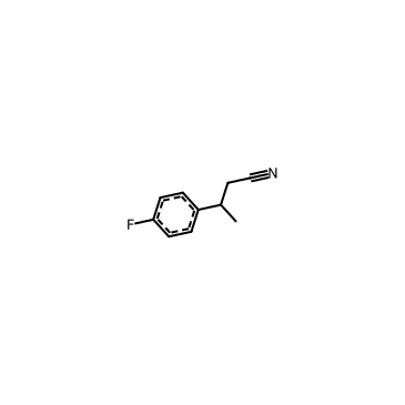 CC(CC#N)c1ccc(F)cc1